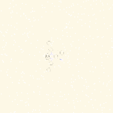 N#Cc1cc(-n2c3ccccc3c3cc(-c4ccc(C(F)(F)F)cc4C(F)(F)F)ccc32)c(-n2c3ccccc3c3cc(-c4ccc(C(F)(F)F)cc4C(F)(F)F)ccc32)cc1-c1ccc(C(F)(F)F)cc1C(F)(F)F